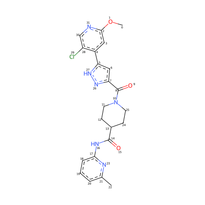 COc1cc(-c2cc(C(=O)N3CCC(C(=O)Nc4cccc(C)n4)CC3)n[nH]2)c(Cl)cn1